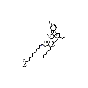 CCCCCC(OC(=O)CN1C(CC)C[C@H](c2ccc(F)cc2)C1(CC)C(=O)OC)C(O)C/C=C\CCCCCCCC(=O)OC